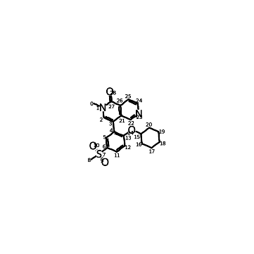 Cn1cc(-c2cc(S(C)(=O)=O)ccc2OC2CCCCC2)c2cnccc2c1=O